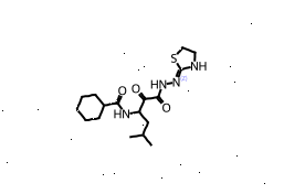 CC(C)CC(NC(=O)C1CCCCC1)C(=O)C(=O)N/N=C1/NCCS1